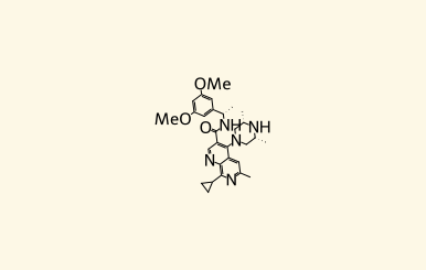 COc1cc(OC)cc([C@H](C)NC(=O)c2cnc3c(C4CC4)nc(C)cc3c2N2C[C@@H](C)N[C@@H](C)C2)c1